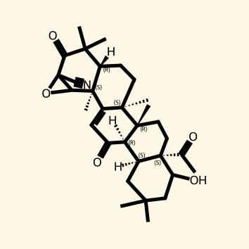 CC(=O)[C@@]12CC[C@]3(C)[C@H](C(=O)C=C4[C@@]5(C)C6OC6(C#N)C(=O)C(C)(C)[C@@H]5CC[C@]43C)[C@@H]1CC(C)(C)CC2O